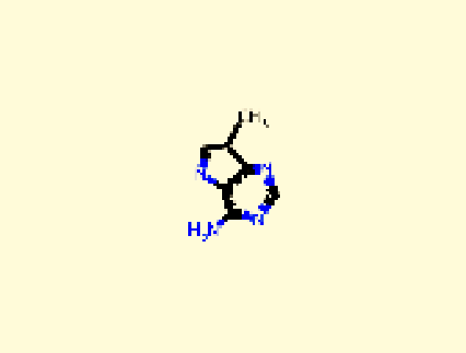 CC1C=Nc2c(N)ncnc21